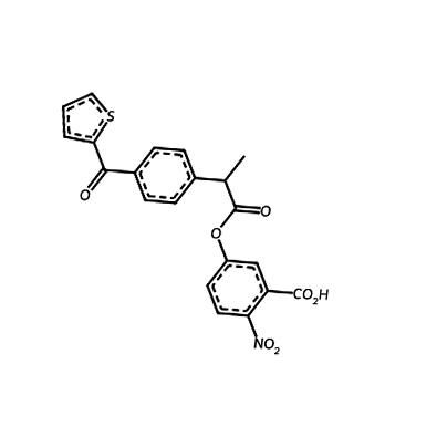 CC(C(=O)Oc1ccc([N+](=O)[O-])c(C(=O)O)c1)c1ccc(C(=O)c2cccs2)cc1